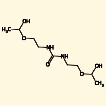 CC(O)OCCNC(=O)NCCOC(C)O